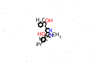 CC(C)c1ccc(C(O)(c2cncc(CCC(C)(O)c3ccccc3)c2)C2(C)CN(C)C2)cc1